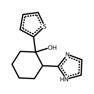 OC1(c2cccs2)CCCCC1c1ncc[nH]1